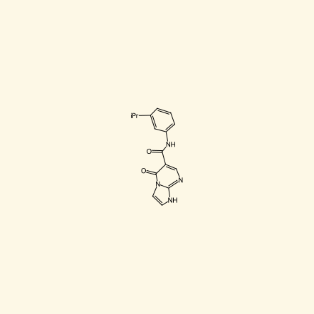 CC(C)c1cccc(NC(=O)c2cnc3[nH]ccn3c2=O)c1